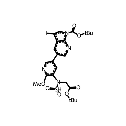 COc1ncc(-c2cnc3c(c2)c(I)cn3C(=O)OC(C)(C)C)cc1N(CC(=O)OC(C)(C)C)[SH](=O)=O